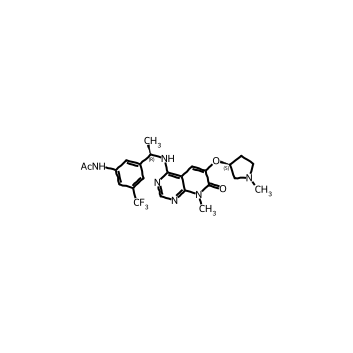 CC(=O)Nc1cc([C@@H](C)Nc2ncnc3c2cc(O[C@H]2CCN(C)C2)c(=O)n3C)cc(C(F)(F)F)c1